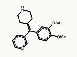 COc1ccc(C(=C2CCNCC2)c2cccnc2)cc1OC